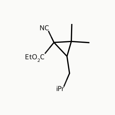 CCOC(=O)C1(C#N)C(CC(C)C)C1(C)C